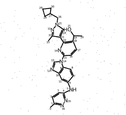 Cc1ccc(Nc2ccc3c(c2)ncn3-c2ccc(C(C)O)c(-c3cn(CC4CCC4)nc3C)n2)nn1